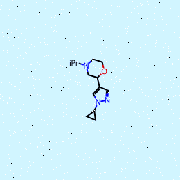 CC(C)N1CCOC(c2cnn(C3CC3)c2)C1